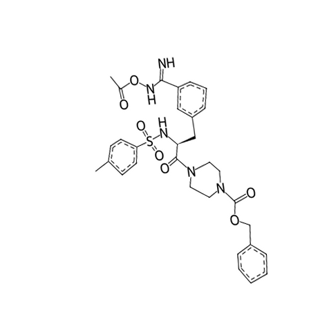 CC(=O)ONC(=N)c1cccc(C[C@H](NS(=O)(=O)c2ccc(C)cc2)C(=O)N2CCN(C(=O)OCc3ccccc3)CC2)c1